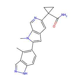 Cc1c(-c2cc3cc(C4(C(N)=O)CC4)ncc3n2C)ccc2[nH]ncc12